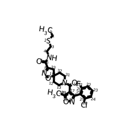 CCSCCNC(=O)C1=NOC2(CCN(C(=O)c3c(-c4c(F)cccc4Cl)noc3C)CC2)C1